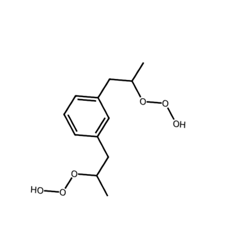 CC(Cc1cccc(CC(C)OOO)c1)OOO